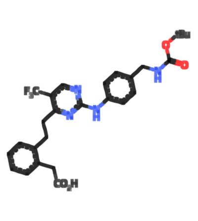 CC(C)(C)OC(=O)NCc1ccc(Nc2ncc(C(F)(F)F)c(CCc3ccccc3CC(=O)O)n2)cc1